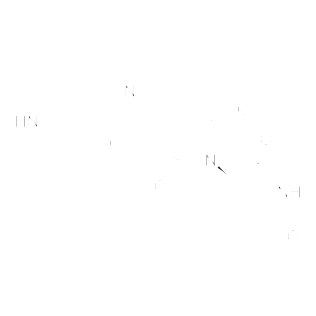 O=C1CC[C@@H](N2C(=O)c3ccnc(OC4CCNCC4)c3C2=O)C(=O)N1